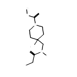 CCN(CC1(O)CCN(C(=O)OC(C)(C)C)CC1)C(=O)CCl